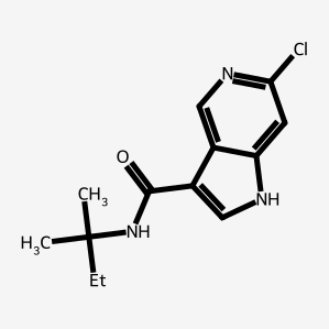 CCC(C)(C)NC(=O)c1c[nH]c2cc(Cl)ncc12